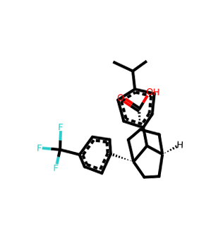 CC(C)c1ccc(C2[C@@H]3CC[C@@]2(c2ccc(C(F)(F)F)cc2)C[C@H](C(=O)O)C3)cc1